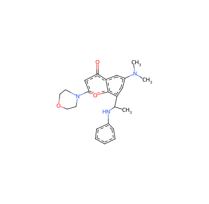 CC(Nc1ccccc1)c1cc(N(C)C)cc2c(=O)cc(N3CCOCC3)oc12